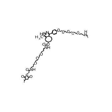 CC1=C2CCC(OC(=O)NCCCOCCOCCOCCCNC(=O)CCN3C(=O)CC(I)C3=O)CCCC2C(c2ccc(OCCOCCOCCOCCOCCCNI)cc2)=NN1